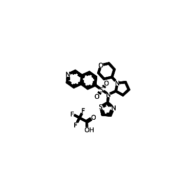 O=C(O)C(F)(F)F.O=S(=O)(c1ccc2cnccc2c1)N(c1nccs1)C1CCCN1C1CCOCC1